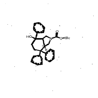 CC(C)(C)OC(=O)N1CC2[C@H](C1)C(c1ccccc1)(c1ccccc1)CCC2(O)c1ccccc1